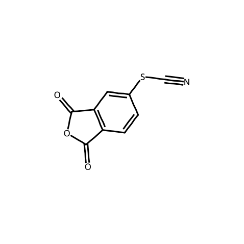 N#CSc1ccc2c(c1)C(=O)OC2=O